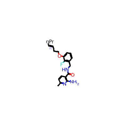 CCC/C=C/CCOc1cccc(CNC(=O)c2ccc(C)nc2N)c1F